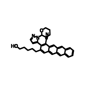 N#Cc1c(-c2ccnn2C2CCCCO2)c(CCCCCO)cc2cc3cc4ccccc4cc3cc12